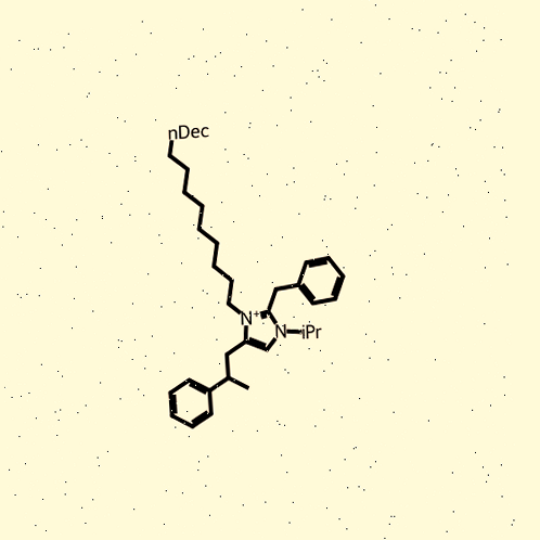 CCCCCCCCCCCCCCCCCCC[n+]1c(CC(C)c2ccccc2)cn(C(C)C)c1Cc1ccccc1